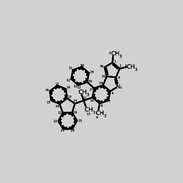 CC1=C(C)C2=Nc3cc(C)c(C(C)(C)C4c5ccccc5-c5ccccc54)c(-c4ccccc4)c3C2=C1